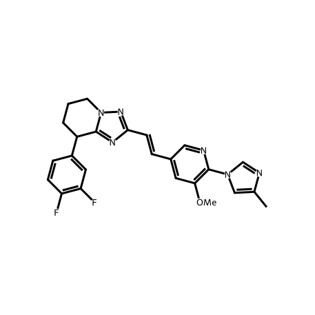 COc1cc(C=Cc2nc3n(n2)CCCC3c2ccc(F)c(F)c2)cnc1-n1cnc(C)c1